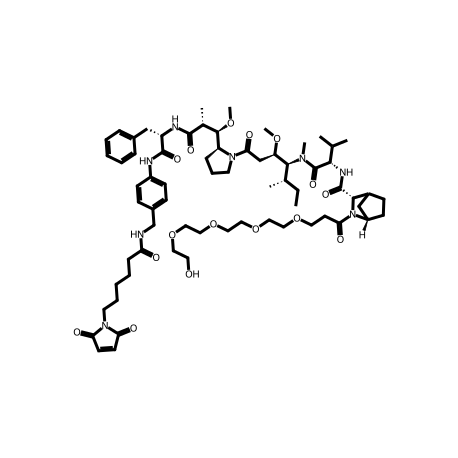 CC[C@H](C)[C@@H]([C@@H](CC(=O)N1CCC[C@H]1[C@H](OC)[C@@H](C)C(=O)N[C@@H](Cc1ccccc1)C(=O)Nc1ccc(CNC(=O)CCCCCN2C(=O)C=CC2=O)cc1)OC)N(C)C(=O)[C@@H](NC(=O)[C@@H]1C2CC[C@@H](C2)N1C(=O)CCOCCOCCOCCOCCO)C(C)C